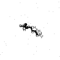 CC(C)CCC[C@@H](C)CCC[C@@H](C)CCCC(C)CCOc1ccc(Cl)c(C(NC(=O)CC[C]=O)c2ccccc2)c1